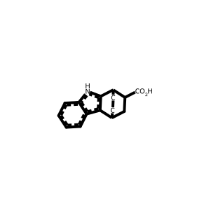 O=C(O)C1CC2CCC1c1[nH]c3ccccc3c12